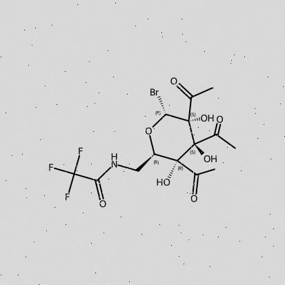 CC(=O)[C@]1(O)[C@@](O)(C(C)=O)[C@@H](CNC(=O)C(F)(F)F)O[C@H](Br)[C@@]1(O)C(C)=O